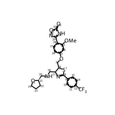 COc1cc(OCC2SC(c3ccc(C(F)(F)F)cc3)=NC2CNC[C@H]2CCCO2)ccc1-c1noc(=O)[nH]1